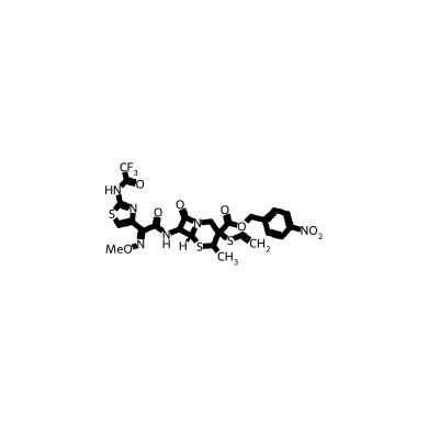 C=CSC1(C(=O)OCc2ccc([N+](=O)[O-])cc2)CN2C(=O)C(NC(=O)C(=NOC)c3csc(NC(=O)C(F)(F)F)n3)[C@H]2SC1C